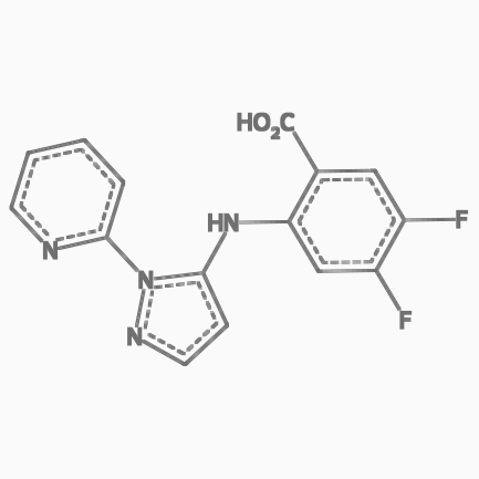 O=C(O)c1cc(F)c(F)cc1Nc1ccnn1-c1ccccn1